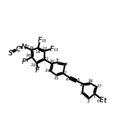 CCc1ccc(C#Cc2ccc(-c3c(F)c(F)c(N=C=S)c(F)c3F)cc2)cc1